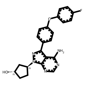 Nc1ncnc2c1c(-c1ccc(Oc3ccc(F)cc3)cc1)nn2[C@H]1CC[C@H](O)C1